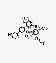 COc1cc(N(C)CCN(C)C)c([N+](=O)[O-])cc1Nc1nc(N)c(Cl)c(-c2ccc(C3CNCCO3)cc2OC)n1